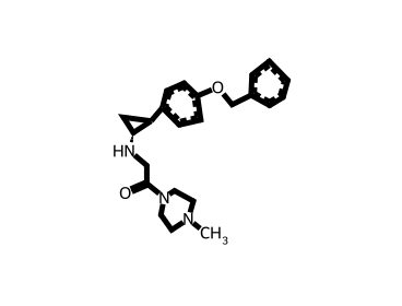 CN1CCN(C(=O)CN[C@@H]2CC2c2ccc(OCc3ccccc3)cc2)CC1